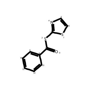 O=C(Sc1nccs1)c1ccccc1